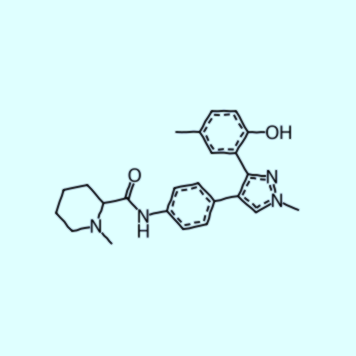 Cc1ccc(O)c(-c2nn(C)cc2-c2ccc(NC(=O)C3CCCCN3C)cc2)c1